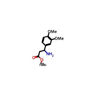 CCCCOC(=O)CC(N)c1ccc(OC)c(OC)c1